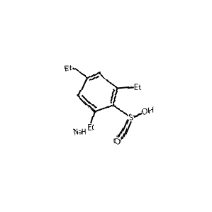 CCc1cc(CC)c(S(=O)O)c(CC)c1.[NaH]